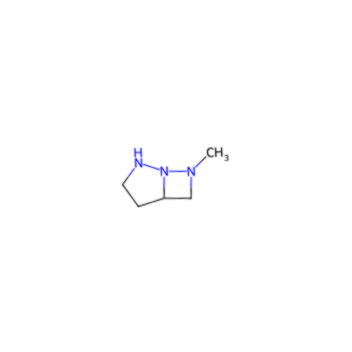 CN1CC2CCNN21